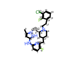 CC1=CC(Nc2ccc(F)c(CC3CCN(CCc4cccc(Cl)c4F)[C@H](C)C3)n2)NN1C(C)(C)C